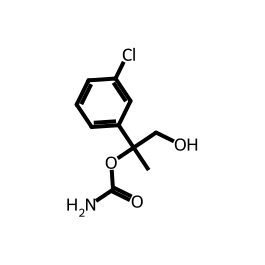 CC(CO)(OC(N)=O)c1cccc(Cl)c1